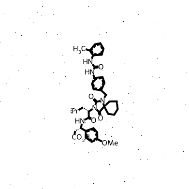 COc1ccc([C@H](CC(=O)O)NC(=O)[C@H](CC(C)C)N2C(=O)N(Cc3ccc(NC(=O)Nc4ccccc4C)cc3)C3(CCCCC3)C2=O)cc1